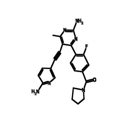 Cc1nc(N)nc(-c2ccc(C(=O)N3CCCC3)cc2F)c1C#Cc1ccc(N)nc1